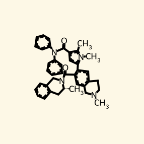 Cc1c(C(=O)N(c2ccccc2)c2ccccc2)cc(-c2cc3c(cc2C(=O)N2Cc4ccccc4C[C@H]2C)CN(C)CC3)n1C